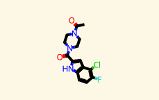 CC(=O)N1CCN(C(=O)c2cc3c(Cl)c(F)ccc3[nH]2)CC1